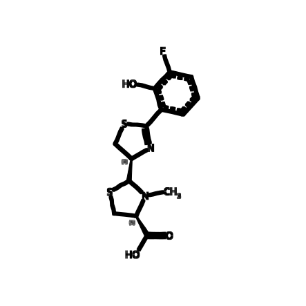 CN1C([C@H]2CSC(c3cccc(F)c3O)=N2)SC[C@@H]1C(=O)O